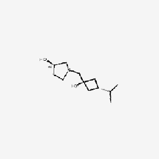 CC(C)[C@H]1C[C@@](O)(CN2CC[C@@H](O)C2)C1